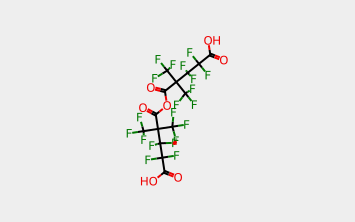 O=C(O)C(F)(F)C(F)(F)C(C(=O)OC(=O)C(C(F)(F)F)(C(F)(F)F)C(F)(F)C(F)(F)C(=O)O)(C(F)(F)F)C(F)(F)F